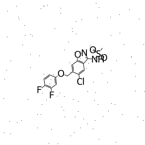 CS(=O)(=O)Nc1noc2cc(COc3ccc(F)c(F)c3)c(Cl)cc12